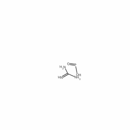 N=C(N)N.O=PO